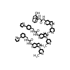 Cc1cc(-n2ncc3cc(NC(=O)NC45CC6CC(CC(O)(C6)C4)C5)ncc32)ccn1.Cc1cc(-n2ncc3cc(NC(=O)NCc4ccc(-n5cccn5)cc4)ncc32)ccn1.Cc1cc(-n2ncc3cc(NC(=O)NCc4cccc(-n5cccn5)c4)ncc32)ccn1